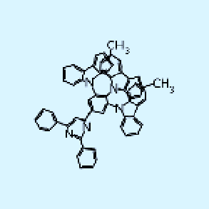 Cc1ccc2c(c1)c1cc(C)ccc1n2-c1c(-n2c3ccccc3c3ccccc32)cc(-c2cc(-c3ccccc3)nc(-c3ccccc3)n2)cc1-n1c2ccccc2c2ccccc21